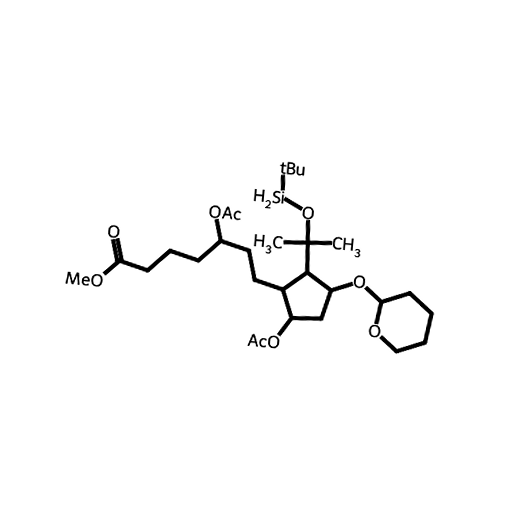 COC(=O)CCCC(CCC1C(OC(C)=O)CC(OC2CCCCO2)C1C(C)(C)O[SiH2]C(C)(C)C)OC(C)=O